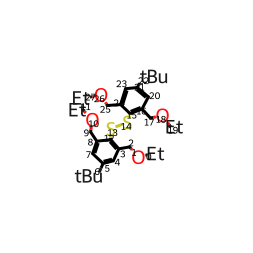 CCOCc1cc(C(C)(C)C)cc(COCC)c1SSc1c(COCC)cc(C(C)(C)C)cc1COCC